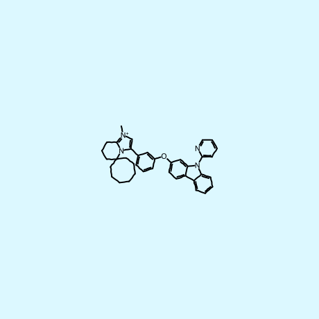 C[n+]1cc(-c2cccc(Oc3ccc4c5ccccc5n(-c5ccccn5)c4c3)c2)n2c1CCCC21CCCCCCC1